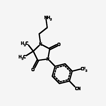 CC1(C)C(=O)N(c2ccc(C#N)c(C(F)(F)F)c2)C(=O)N1CCN